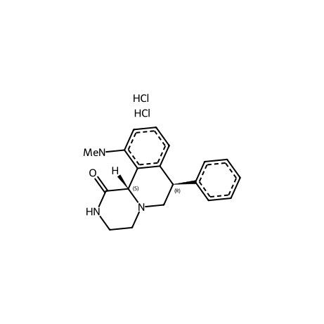 CNc1cccc2c1[C@H]1C(=O)NCCN1C[C@@H]2c1ccccc1.Cl.Cl